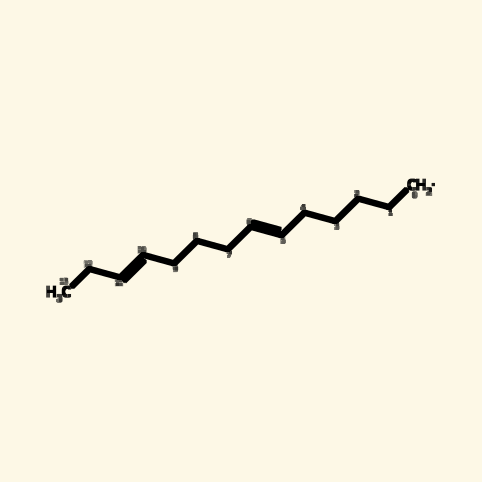 [CH2]CCCCC=CCCCC=CCC